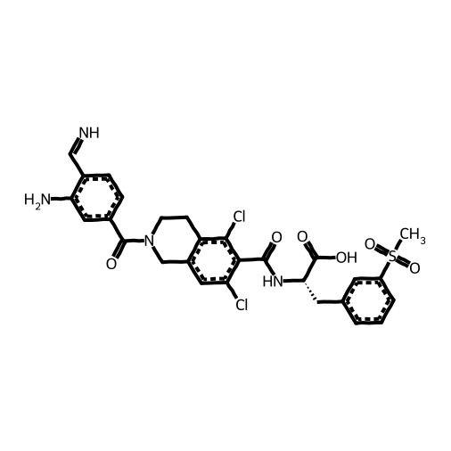 CS(=O)(=O)c1cccc(C[C@H](NC(=O)c2c(Cl)cc3c(c2Cl)CCN(C(=O)c2ccc(C=N)c(N)c2)C3)C(=O)O)c1